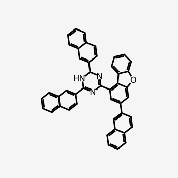 c1ccc2cc(C3=NC(c4cc(-c5ccc6ccccc6c5)cc5oc6ccccc6c45)=NC(c4ccc5ccccc5c4)N3)ccc2c1